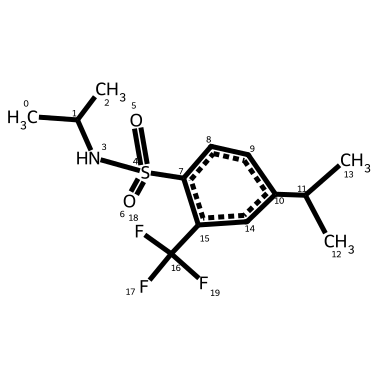 CC(C)NS(=O)(=O)c1ccc(C(C)C)cc1C(F)(F)F